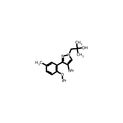 CCCc1cn(CC(C)(C)O)nc1-c1cc(C)ccc1OC(C)C